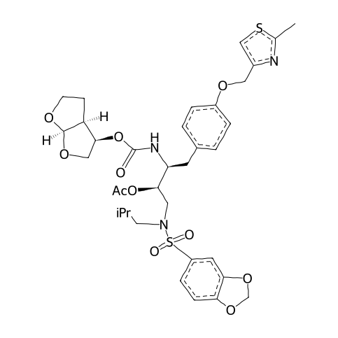 [CH2]C(=O)O[C@H](CN(CC(C)C)S(=O)(=O)c1ccc2c(c1)OCO2)[C@H](Cc1ccc(OCc2csc(C)n2)cc1)NC(=O)O[C@H]1CO[C@H]2OCC[C@H]21